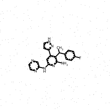 CC(c1ccc(F)cc1)c1c(-c2cc[nH]n2)cc(Nc2cnccn2)nc1N